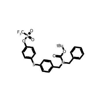 CC(C)(C)OC(=O)N(Cc1ccccc1)Cc1ccc(Sc2ccc(OS(=O)(=O)C(F)(F)F)cc2)cc1